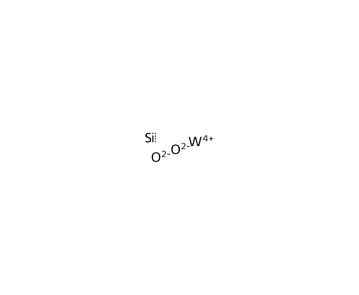 [O-2].[O-2].[Si].[W+4]